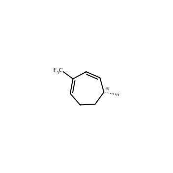 C[C@H]1C=CC(C(F)(F)F)=CCC1